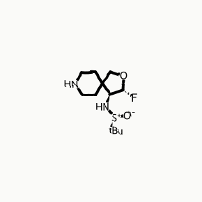 CC(C)(C)[S@@+]([O-])N[C@@H]1[C@@H](F)OCC12CCNCC2